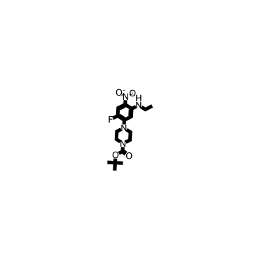 CCNc1cc(N2CCN(C(=O)OC(C)(C)C)CC2)c(F)cc1[N+](=O)[O-]